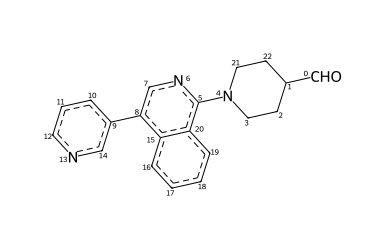 O=CC1CCN(c2ncc(-c3cccnc3)c3ccccc23)CC1